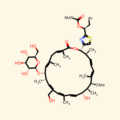 CNC(=O)O[C@@H](CC(C)C)c1nc([C@H]2OC(=O)/C(C)=C/C/C(C)=C/[C@@H](O[C@@H]3O[C@H](CO)[C@@H](O)[C@H](O)[C@H]3O)[C@@H](C)\C=C(CO)/C=C(C)\C=C\[C@@H](O)[C@H](C)[C@H](OC)/C(C)=C/C=C/[C@@H]2C)cs1